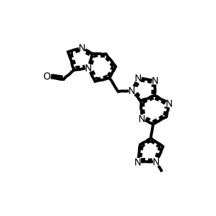 Cn1cc(-c2cnc3nnn(Cc4ccc5ncc(C=O)n5c4)c3n2)cn1